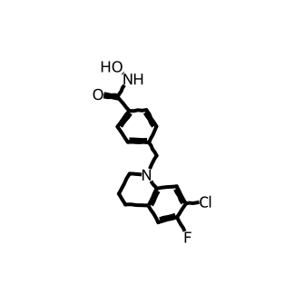 O=C(NO)c1ccc(CN2CCCc3cc(F)c(Cl)cc32)cc1